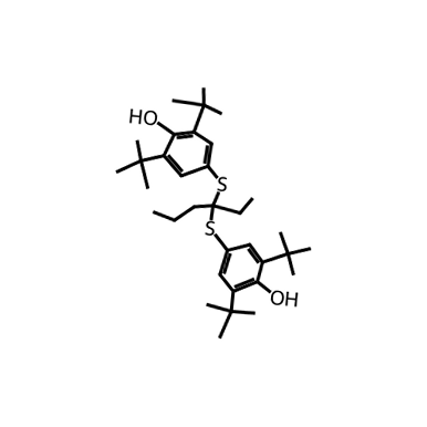 CCCC(CC)(Sc1cc(C(C)(C)C)c(O)c(C(C)(C)C)c1)Sc1cc(C(C)(C)C)c(O)c(C(C)(C)C)c1